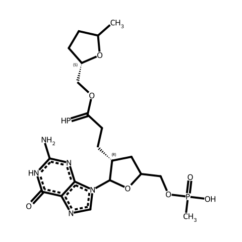 CC1CC[C@@H](COC(=P)CC[C@@H]2CC(COP(C)(=O)O)OC2n2cnc3c(=O)[nH]c(N)nc32)O1